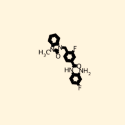 Cn1c(=O)n(Cc2ccc(C(=O)Nc3ccc(F)cc3N)cc2F)c2ccccc21